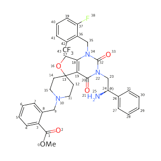 COC(=O)c1ccccc1CN1CCC2(CC1)OCc1c2c(=O)n(C[C@H](N)c2ccccc2)c(=O)n1Cc1c(F)cccc1C(F)(F)F